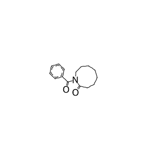 O=C1CCCCCCCN1C(=O)c1ccccc1